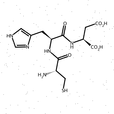 N[C@@H](CS)C(=O)N[C@@H](Cc1c[nH]cn1)C(=O)N[C@@H](CC(=O)O)C(=O)O